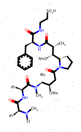 CC[C@H](C)[C@@H]([C@@H](CC(=O)N1CCC[C@H]1[C@H](OC)[C@@H](C)C(=O)N[C@@H](Cc1ccccc1)C(=O)NCCS(=O)(=O)O)OC)N(C)C(=O)[C@@H](NC(=O)[C@H](C(C)C)N(C)CC)C(C)C